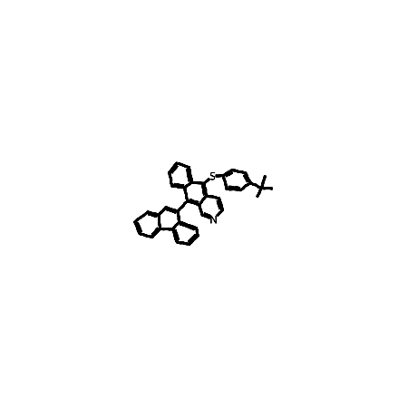 CC(C)(C)c1ccc(Sc2c3ccccc3c(-c3cc4ccccc4c4ccccc34)c3cnccc23)cc1